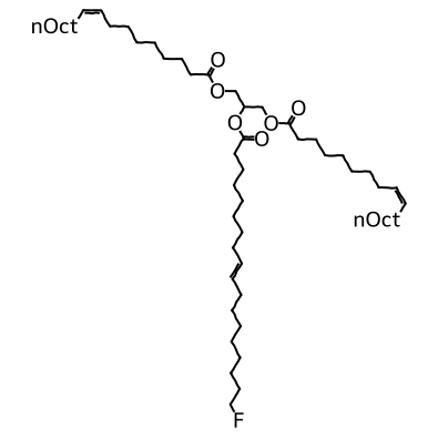 CCCCCCCC/C=C\CCCCCCCC(=O)OCC(COC(=O)CCCCCCC/C=C\CCCCCCCC)OC(=O)CCCCCCCC=CCCCCCCCCF